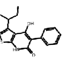 CCC(C)c1csc2[nH]c(=O)c(-c3ccccc3)c(O)c12